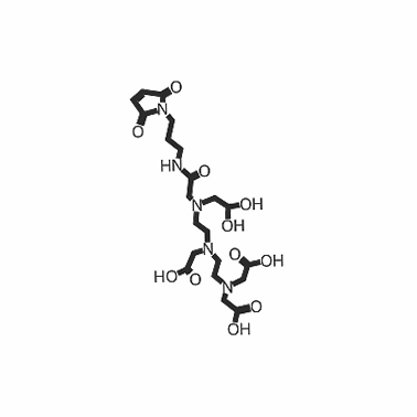 O=C(O)CN(CCN(CC(=O)O)CC(=O)O)CCN(CC(=O)NCCCN1C(=O)C=CC1=O)CC(O)O